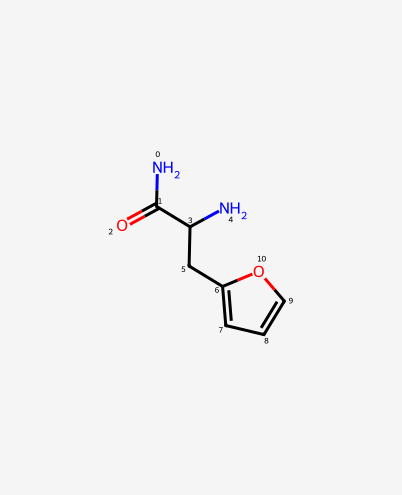 NC(=O)C(N)Cc1ccco1